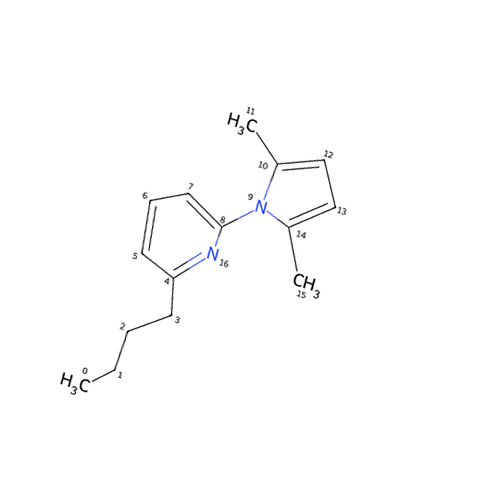 CCCCc1cccc(-n2c(C)ccc2C)n1